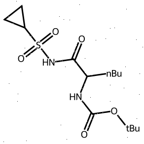 CCCCC(NC(=O)OC(C)(C)C)C(=O)NS(=O)(=O)C1CC1